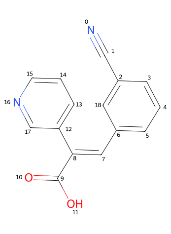 N#Cc1cccc(/C=C(/C(=O)O)c2cccnc2)c1